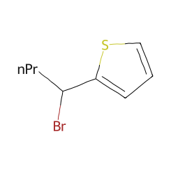 CCCC(Br)c1cccs1